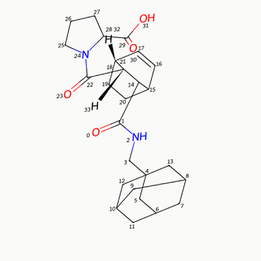 O=C(NCC12CC3CC(CC(C3)C1)C2)C1C2C=C[C@@H](CC2)[C@H]1C(=O)N1CCCC1C(=O)O